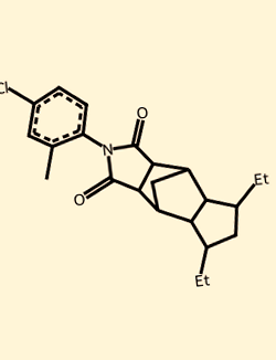 CCC1CC(CC)C2C3CC(C4C(=O)N(c5ccc(Cl)cc5C)C(=O)C34)C12